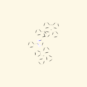 c1ccc(-c2nc(-c3cccc4c3-c3ccccc3C4(c3ccccc3)c3ccccc3)cc(-c3ccc(-c4cccc5c4C(c4ccccc4)(c4ccccc4)c4ccccc4-5)c4ccccc34)n2)cc1